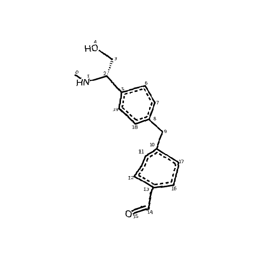 CN[C@H](CO)c1ccc(Cc2ccc(C=O)cc2)cc1